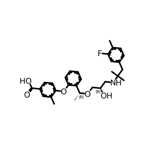 Cc1ccc(CC(C)(C)NC[C@@H](O)CO[C@H](C)c2ccccc2Oc2ccc(C(=O)O)cc2C)cc1F